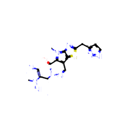 CN(C/C(=C/N)N(C)N)/N=C\c1c(C=O)n(C)c2nc(Cc3cc[nH]n3)sc12